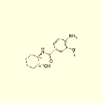 COc1cc(C(=O)N[C@@H]2CCCC[C@H]2O)ccc1N